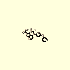 O=C(O)C1Sc2nccc3c2C1NC(=O)N3c1ccc(Oc2cccnc2)cn1